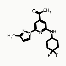 CC(=O)c1cc(NC2CCC(F)(F)CC2)nc(-n2ccc(C)n2)c1